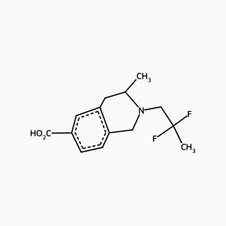 CC1Cc2cc(C(=O)O)ccc2CN1CC(C)(F)F